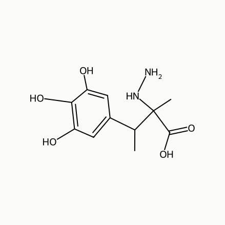 CC(c1cc(O)c(O)c(O)c1)C(C)(NN)C(=O)O